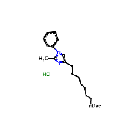 CCCCCCCCCCCCCCCCCc1cn(-c2ccccc2)c(C)n1.Cl